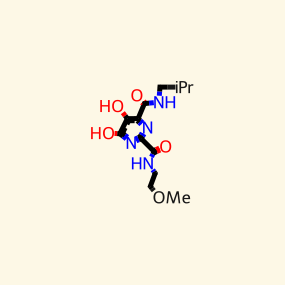 COCCNC(=O)c1nc(O)c(O)c(C(=O)NCC(C)C)n1